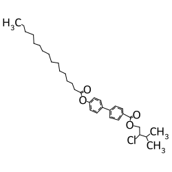 CCCCCCCCCCCCCCCC(=O)Oc1ccc(-c2ccc(C(=O)OCC(Cl)C(C)C)cc2)cc1